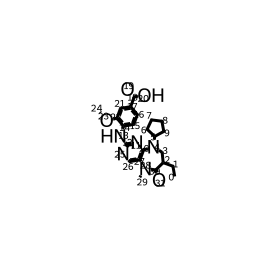 CCC1CN(C2CCCC2)c2nc(Nc3ccc(C(=O)O)cc3OC)ncc2N(C)C1=O